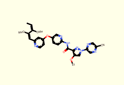 C/C=C(OC)\C(=C/c1cc(Oc2ccc(NC(=O)c3nn(-c4cnc(C#N)cn4)cc3OCC)nc2)ccn1)OC